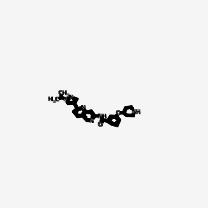 CC(C)n1cc(-c2ccc3cnc(NC(=O)c4cccc(OC5CCNCC5)c4)cc3n2)cn1